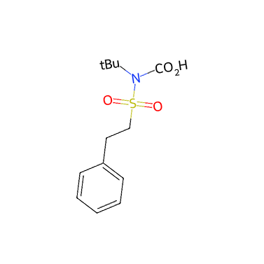 CC(C)(C)N(C(=O)O)S(=O)(=O)CCc1ccccc1